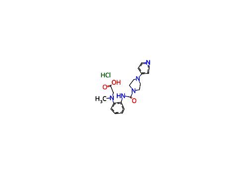 CN(CC(=O)O)c1ccccc1NC(=O)N1CCN(c2ccncc2)CC1.Cl